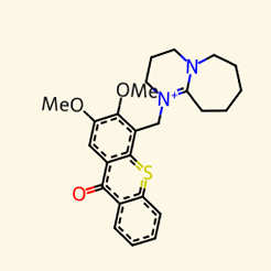 COc1cc2c(=O)c3ccccc3sc2c(C[N+]2=C3CCCCCN3CCC2)c1OC